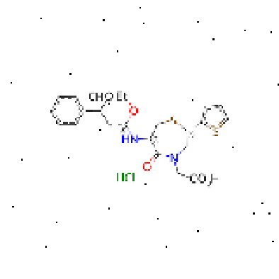 CCO[C@@H](CC(C=O)c1ccccc1)N[C@H]1CS[C@H](c2cccs2)CN(CC(=O)O)C1=O.Cl